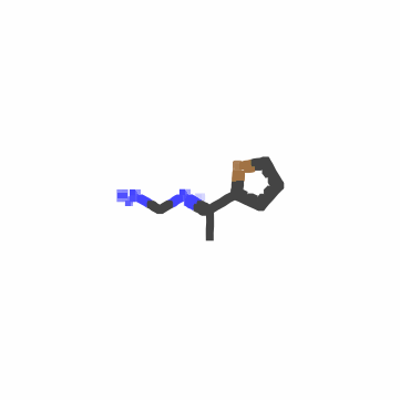 C/C(=N\CN)c1cccs1